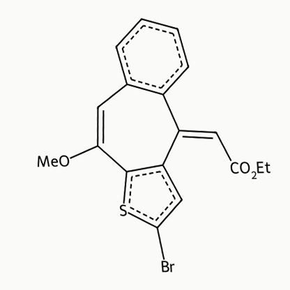 CCOC(=O)C=C1c2ccccc2C=C(OC)c2sc(Br)cc21